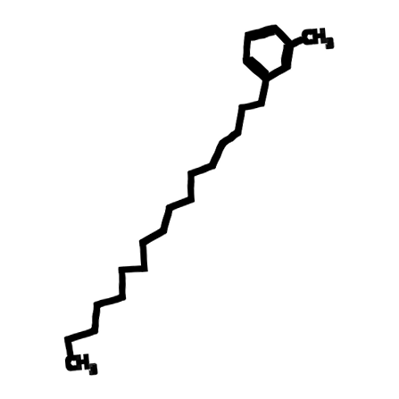 CCCCCCCCCCCCCCCCCc1cccc(C)c1